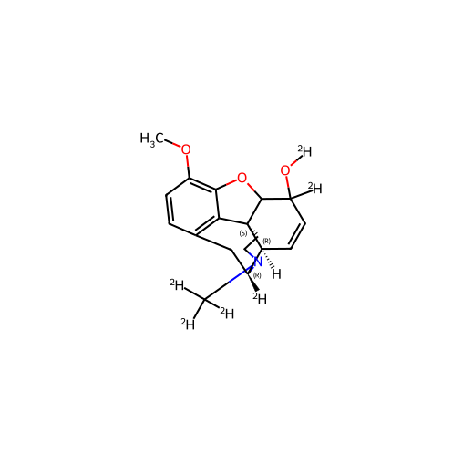 [2H]OC1([2H])C=C[C@@H]2[C@@]34CCN(C([2H])([2H])[2H])[C@]2([2H])Cc2ccc(OC)c(c23)OC14